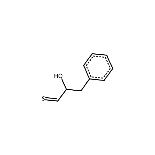 OC(C=S)Cc1ccccc1